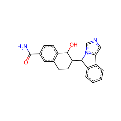 NC(=O)c1ccc2c(c1)CCC(C1c3ccccc3-c3cncn31)C2O